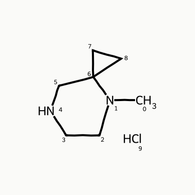 CN1CCNCC12CC2.Cl